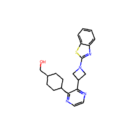 OCC1CCC(c2nccnc2C2CN(c3nc4ccccc4s3)C2)CC1